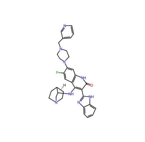 O=c1[nH]c2cc(N3CCN(Cc4cccnc4)CC3)c(F)cc2c(N[C@H]2CN3CCC2CC3)c1-c1nc2ccccc2[nH]1